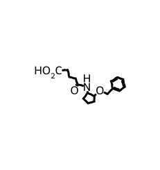 O=C(O)CCCC(=O)NC1CCCC1OCc1ccccc1